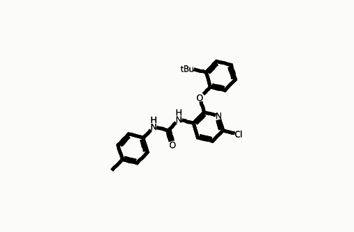 Cc1ccc(NC(=O)Nc2ccc(Cl)nc2Oc2ccccc2C(C)(C)C)cc1